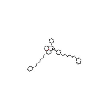 C(=C(c1ccccc1)c1ccccc1)N(c1ccc(/C=C/C=C/C=C/c2ccccc2)cc1)c1ccc(/C=C/C=C/C=C/c2ccccc2)cc1